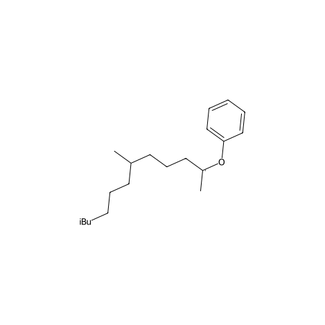 CCC(C)CCCC(C)CCC[C](C)Oc1ccccc1